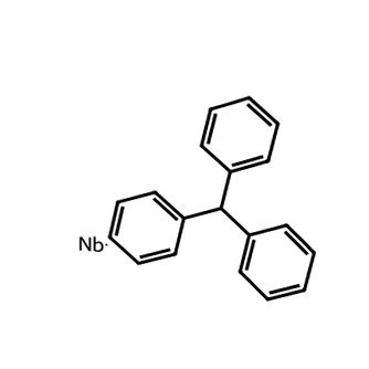 [Nb].c1ccc(C(c2ccccc2)c2ccccc2)cc1